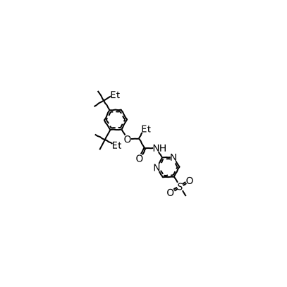 CCC(Oc1ccc(C(C)(C)CC)cc1C(C)(C)CC)C(=O)Nc1ncc(S(C)(=O)=O)cn1